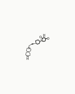 O=c1ccn(-c2ccc(C#CCN3CCC4(CCNCC4)CC3)cc2)c(=O)[nH]1